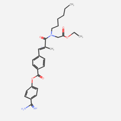 CCCCCCN(CC(=O)OCC)C(=O)/C(C)=C/c1ccc(C(=O)Oc2ccc(C(=N)N)cc2)cc1